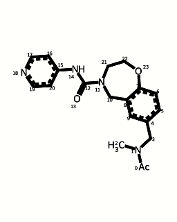 CC(=O)N(C)Cc1ccc2c(c1)CN(C(=O)Nc1ccncc1)CCO2